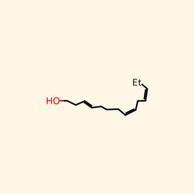 CC/C=C\C/C=C\CCC/C=C/CCO